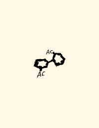 CC(=O)c1cccc(-c2[c]cccc2C(C)=O)c1